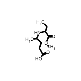 CCC(NC(C)CCC(=O)O)C(=O)OC